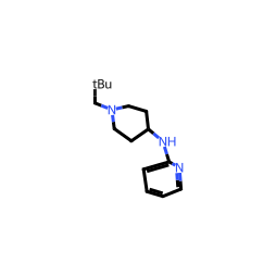 CC(C)(C)CN1CCC(Nc2ccccn2)CC1